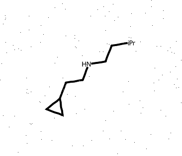 CC(C)CCNCCC1CC1